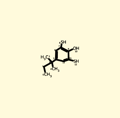 CCC(C)(C)c1cc(S)c(O)c(S)c1